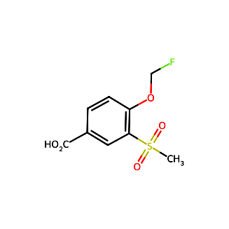 CS(=O)(=O)c1cc(C(=O)O)ccc1OCF